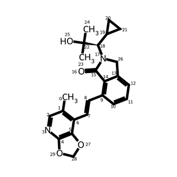 Cc1cnc2c(c1/C=C/c1cccc3c1C(=O)N([C@H](C1CC1)C(C)(C)O)C3)OCO2